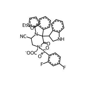 CCOc1ccccc1C1(C2CNc3ccccc32)C(=O)[N+](C(=O)[O-])(S(=O)(=O)c2ccc(F)cc2F)CC(C#N)N1c1nccs1